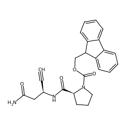 C#C[C@H](CC(N)=O)NC(=O)[C@@H]1CCCN1C(=O)OCC1c2ccccc2-c2ccccc21